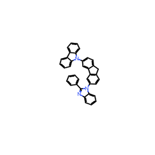 c1ccc(-c2nc3ccccc3n2-c2ccc3c(c2)-c2cc(-n4c5ccccc5c5ccccc54)ccc2C3)cc1